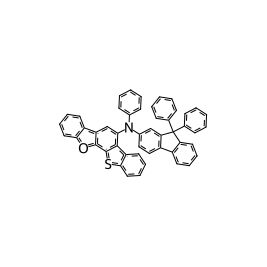 c1ccc(N(c2ccc3c(c2)C(c2ccccc2)(c2ccccc2)c2ccccc2-3)c2cc3c4ccccc4oc3c3sc4ccccc4c23)cc1